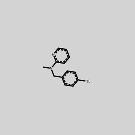 CN(Cc1c[c]c(C(C)(C)C)cc1)c1ccccn1